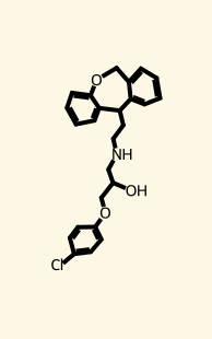 OC(CNCCC1c2ccccc2COc2ccccc21)COc1ccc(Cl)cc1